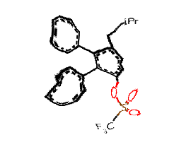 CC(C)Cc1ccc(OS(=O)(=O)C(F)(F)F)c(-c2ccccc2)c1-c1ccccc1